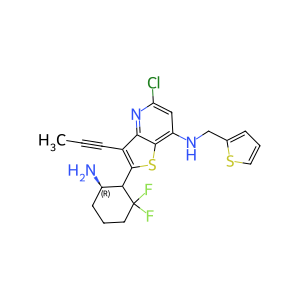 CC#Cc1c(C2[C@H](N)CCCC2(F)F)sc2c(NCc3cccs3)cc(Cl)nc12